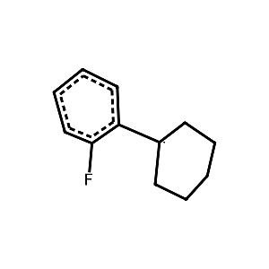 Fc1ccccc1[C]1CCCCC1